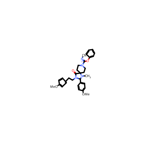 COc1ccc(CCN2C(=O)C3(CCN(/C(=N/C#N)Oc4ccccc4)CC3)N(C)C2c2ccc(OC)cc2)cc1